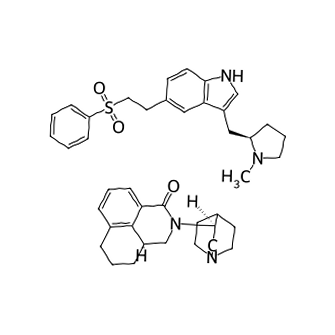 CN1CCC[C@@H]1Cc1c[nH]c2ccc(CCS(=O)(=O)c3ccccc3)cc12.O=C1c2cccc3c2[C@H](CCC3)CN1[C@@H]1CN2CCC1CC2